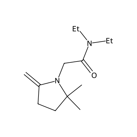 C=C1CCC(C)(C)N1CC(=O)N(CC)CC